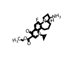 CCOC(=O)c1cn(C2CC2)c2c3c(c(F)cc2c1=O)N1CC[C@@H](N)[C@H]1CCC3